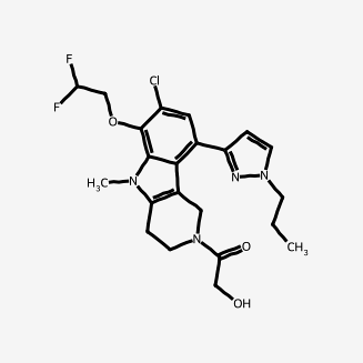 CCCn1ccc(-c2cc(Cl)c(OCC(F)F)c3c2c2c(n3C)CCN(C(=O)CO)C2)n1